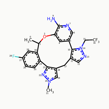 CC1Oc2cc(cnc2N)-c2c(cnn2CC(F)(F)F)Cc2cn(C)nc2-c2ccc(F)cc21